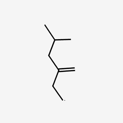 [CH2]CC(=C)CC(C)C